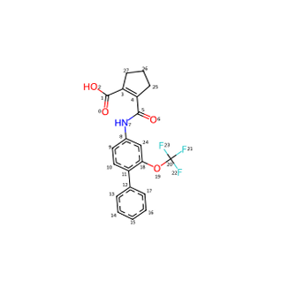 O=C(O)C1=C(C(=O)Nc2ccc(-c3ccccc3)c(OC(F)(F)F)c2)CCC1